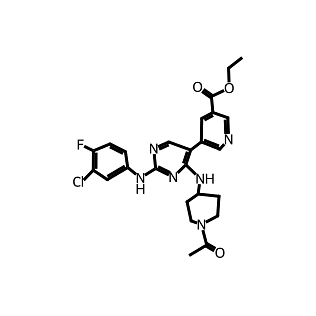 CCOC(=O)c1cncc(-c2cnc(Nc3ccc(F)c(Cl)c3)nc2NC2CCN(C(C)=O)CC2)c1